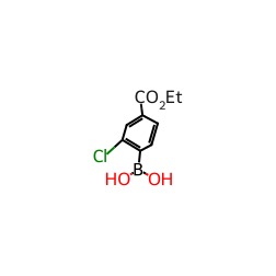 CCOC(=O)c1ccc(B(O)O)c(Cl)c1